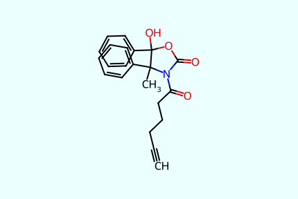 C#CCCCC(=O)N1C(=O)OC(O)(c2ccccc2)C1(C)c1ccccc1